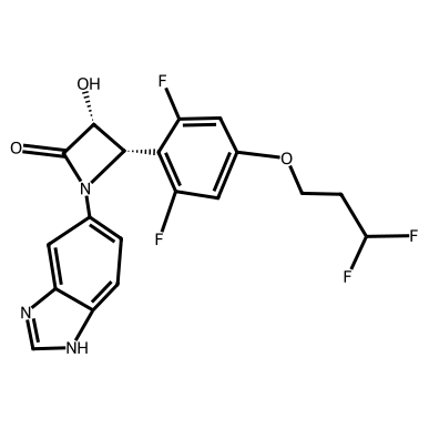 O=C1[C@H](O)[C@H](c2c(F)cc(OCCC(F)F)cc2F)N1c1ccc2[nH]cnc2c1